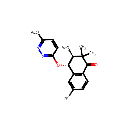 CC(=O)Oc1ccc(O[C@H]2c3cc(C#N)ccc3C(=O)C(C)(C)[C@@H]2OC(C)=O)nn1